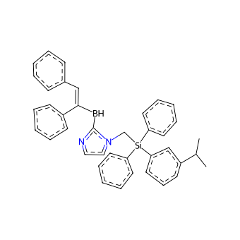 CC(C)c1cccc([Si](Cn2ccnc2BC(=Cc2ccccc2)c2ccccc2)(c2ccccc2)c2ccccc2)c1